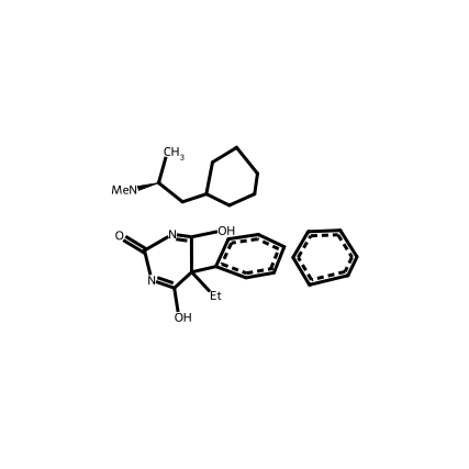 CCC1(c2ccccc2)C(O)=NC(=O)N=C1O.CN[C@@H](C)CC1CCCCC1.c1ccccc1